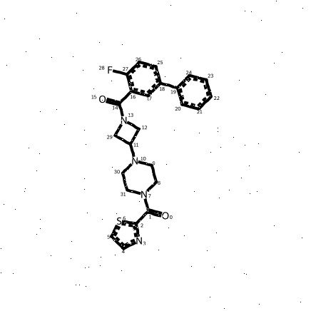 O=C(c1nccs1)N1CCN(C2CN(C(=O)c3cc(-c4ccccc4)ccc3F)C2)CC1